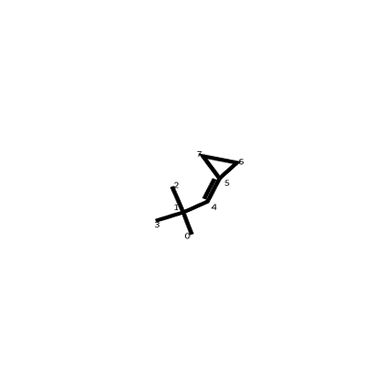 CC(C)(C)C=C1CC1